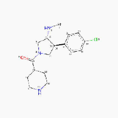 CCN[C@H]1CN(C(=O)C2CCNCC2)C[C@@H]1c1ccc(Cl)cc1